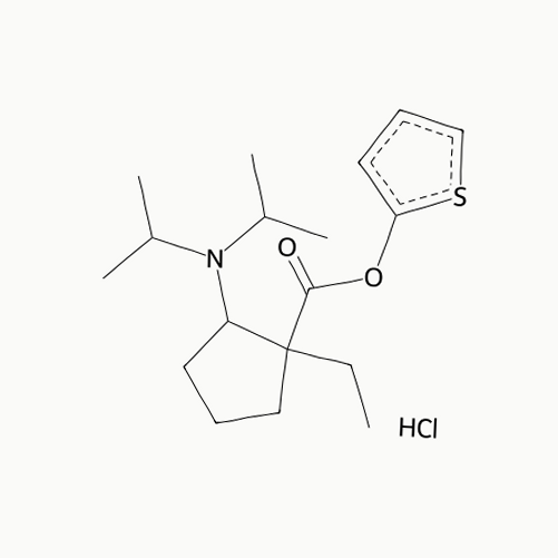 CCC1(C(=O)Oc2cccs2)CCCC1N(C(C)C)C(C)C.Cl